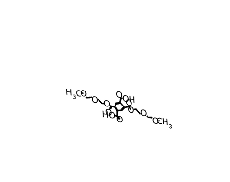 COCCOCCOC(=O)c1cc(C(=O)O)c(C(=O)OCCOCCOC)cc1C(=O)O